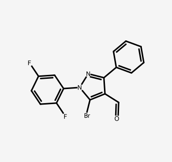 O=Cc1c(-c2ccccc2)nn(-c2cc(F)ccc2F)c1Br